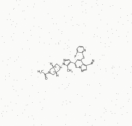 CC(=O)N1C[C@H]2C[C@@H](n3ncc(-c4cc(Sc5ncccc5F)c5c(C#N)cnn5c4)c3C)C[C@H]2C1